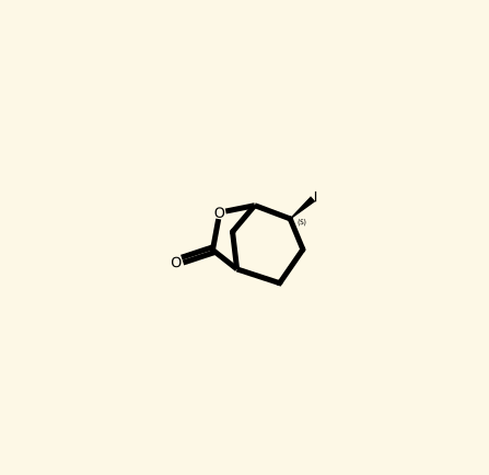 O=C1OC2CC1CC[C@@H]2I